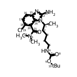 C[C@@H](CCCCNC(=O)OC(C)(C)C)n1c(N)nc2ccc(Cl)c(C(=O)N(C)C)c21